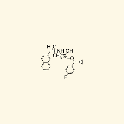 CC(C)(Cc1ccc2ccccc2c1)NC[C@@H](O)COC(c1ccc(F)cc1)C1CC1